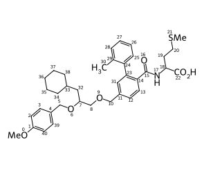 COc1ccc(COC(COCc2ccc(C(=O)NC(CCSC)C(=O)O)c(-c3ccccc3C)c2)CC2CCCCC2)cc1